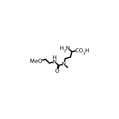 COCCNC(=O)N(C)CCC(N)C(=O)O